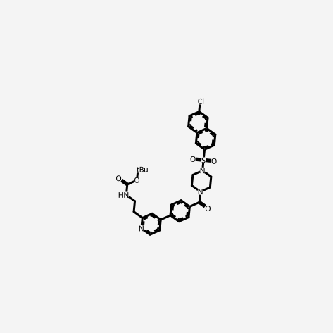 CC(C)(C)OC(=O)NCCc1cc(-c2ccc(C(=O)N3CCN(S(=O)(=O)c4ccc5cc(Cl)ccc5c4)CC3)cc2)ccn1